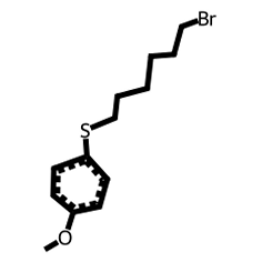 COc1ccc(SCCCCCCBr)cc1